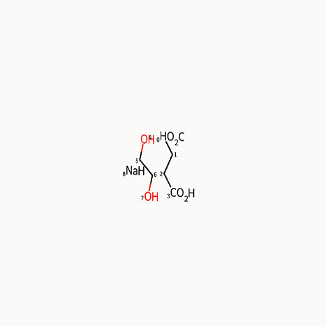 O=C(O)CCC(=O)O.OCCO.[NaH]